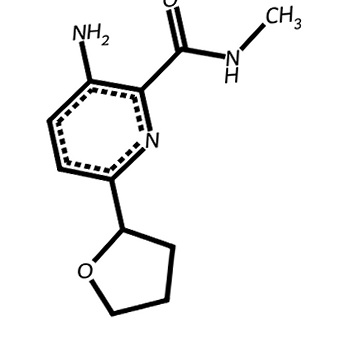 CNC(=O)c1nc(C2CCCO2)ccc1N